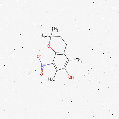 Cc1c(O)c(C)c([N+](=O)[O-])c2c1CCC(C)(C)O2